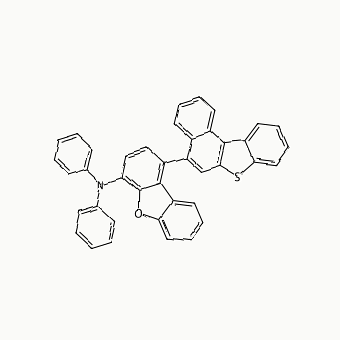 c1ccc(N(c2ccccc2)c2ccc(-c3cc4sc5ccccc5c4c4ccccc34)c3c2oc2ccccc23)cc1